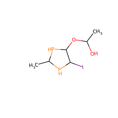 CC(O)OC1PC(C)PC1I